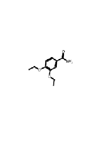 CCOc1ccc(C(N)=O)cc1OCC